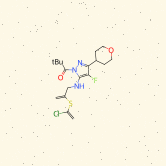 C=C(Cl)SC(=C)CNc1c(F)c(C2CCOCC2)nn1C(=O)C(C)(C)C